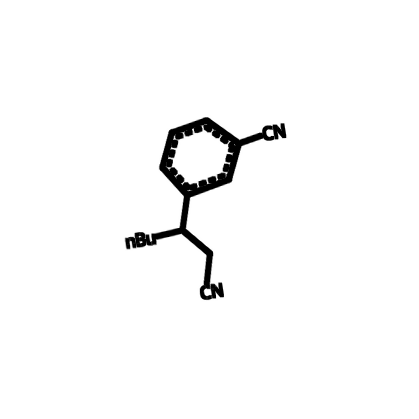 CCCCC(CC#N)c1cccc(C#N)c1